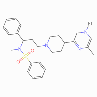 CCN1C=C(C)N=C(C2CCN(CCC(c3ccccc3)N(C)S(=O)(=O)c3ccccc3)CC2)C1